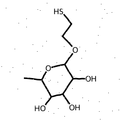 CC1OC(OCCS)C(O)C(O)C1O